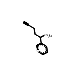 C#CCCC(C(=O)OCC)c1cccnc1